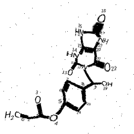 C=CC(=O)Oc1ccc(C(O)n2c(=O)[nH]c3[nH]c(=O)[nH]c3c2=O)cc1